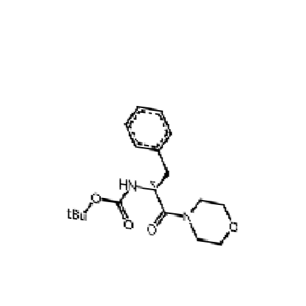 CC(C)(C)OC(=O)N[C@@H](Cc1ccccc1)C(=O)N1CCOCC1